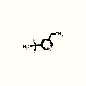 C=Cc1cncc(C(C)(F)F)c1